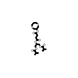 C=C(C)C(=O)OCC(COC(=O)C(=C)C)OC(=O)CCC(=O)OC1CSCCCSC1